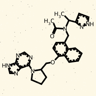 CC(=O)N(Cc1ccc(OCC2CCCN2c2ncnc3[nH]cnc23)c2ccccc12)C(C)c1cc[nH]n1